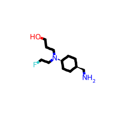 NC[C@H]1CC[C@H](N(CCF)CCCO)CC1